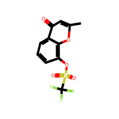 Cc1cc(=O)c2cccc(OS(=O)(=O)C(F)(F)F)c2o1